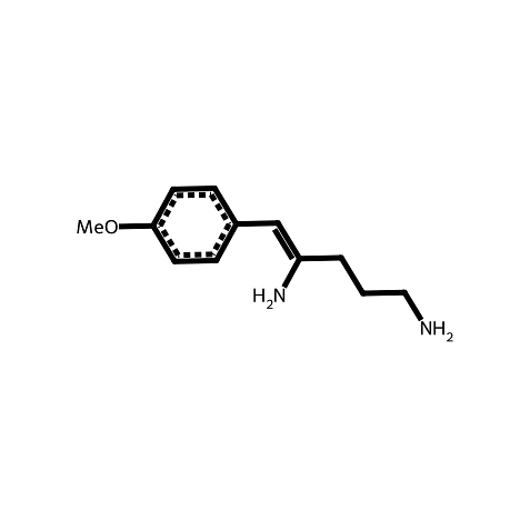 COc1ccc(C=C(N)CCCN)cc1